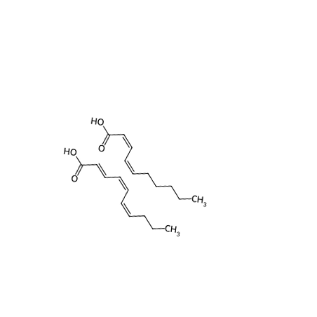 CCCCC/C=C\C=C/C(=O)O.CCC\C=C/C=C\C=C\C(=O)O